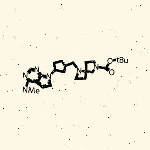 CNc1ncnc2c1ccn2C1CCC(CN2CCC23CCN(C(=O)OC(C)(C)C)C3)C1